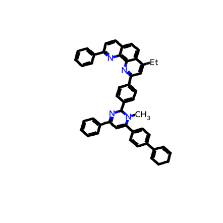 CCc1cc(-c2ccc(C3N=C(c4ccccc4)C=C(c4ccc(C5=CCCC=C5)cc4)N3C)cc2)nc2c1ccc1ccc(-c3ccccc3)nc12